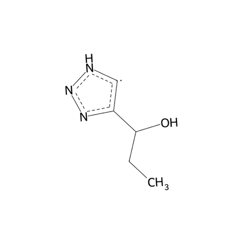 CCC(O)c1[c][nH]nn1